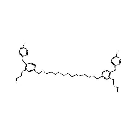 CCCCc1cc(CCCCCCCCCCCCCCCc2ccc(Cc3ccc(N)cc3)c(CCCC)c2)ccc1Cc1ccc(N)cc1